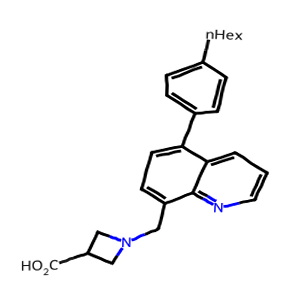 CCCCCCc1ccc(-c2ccc(CN3CC(C(=O)O)C3)c3ncccc23)cc1